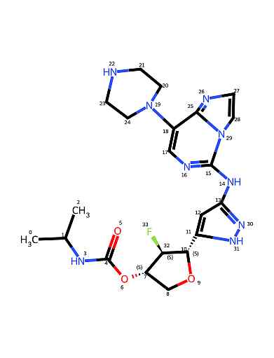 CC(C)NC(=O)O[C@H]1CO[C@@H](c2cc(Nc3ncc(N4CCNCC4)c4nccn34)n[nH]2)[C@@H]1F